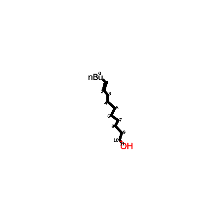 CCCCC=CCCCCCCCCO